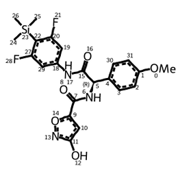 COc1ccc([C@@H](NC(=O)c2cc(O)no2)C(=O)Nc2cc(F)c([Si](C)(C)C)c(F)c2)cc1